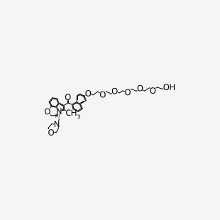 Cc1c(C(=O)c2cccc3cc(OCCOCCOCCOCCOCCOCCO)ccc23)c2cccc3c2n1[C@H](CN1CCOCC1)CO3